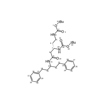 CC(C)(C)OC(=O)NCC[C@@H](CC(=O)NC(CCc1ccccc1)CCc1ccccc1)NC(=O)OC(C)(C)C